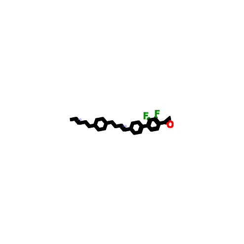 C/C=C/CCC1CCC(CC/C=C/C2CC=C(c3ccc(C4CO4)c(F)c3F)CC2)CC1